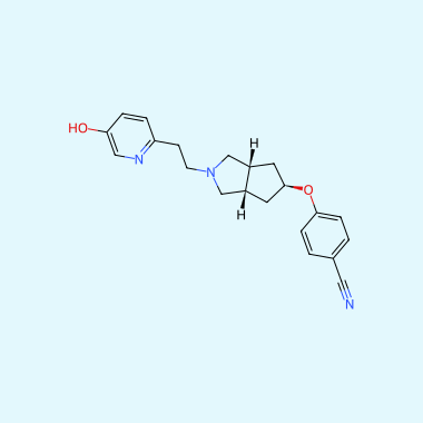 N#Cc1ccc(O[C@H]2C[C@@H]3CN(CCc4ccc(O)cn4)C[C@@H]3C2)cc1